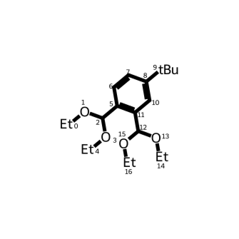 CCOC(OCC)c1ccc(C(C)(C)C)cc1C(OCC)OCC